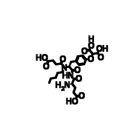 CCCCCN(C(=O)CCC(=O)O)[C@@H](Cc1ccc(OC(C(=O)O)C(=O)O)cc1)C(=O)NC(=O)[C@@H](N)CCC(=O)O